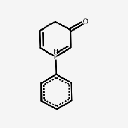 O=C1C=[PH](c2ccccc2)C=CC1